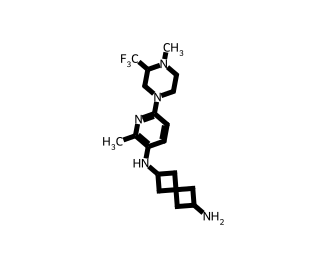 Cc1nc(N2CCN(C)C(C(F)(F)F)C2)ccc1NC1CC2(CC(N)C2)C1